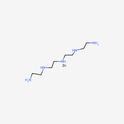 NCCNCCNCCNCCN.[Zn]